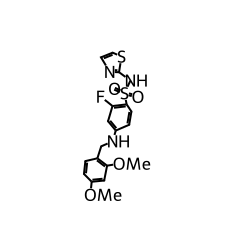 COc1ccc(CNc2ccc(S(=O)(=O)Nc3nccs3)c(F)c2)c(OC)c1